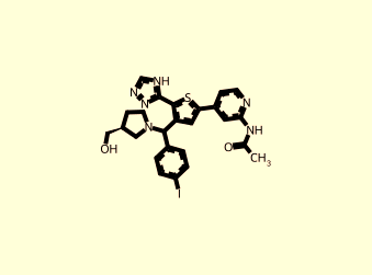 CC(=O)Nc1cc(-c2cc(C(c3ccc(I)cc3)N3CC[C@H](CO)C3)c(-c3nnc[nH]3)s2)ccn1